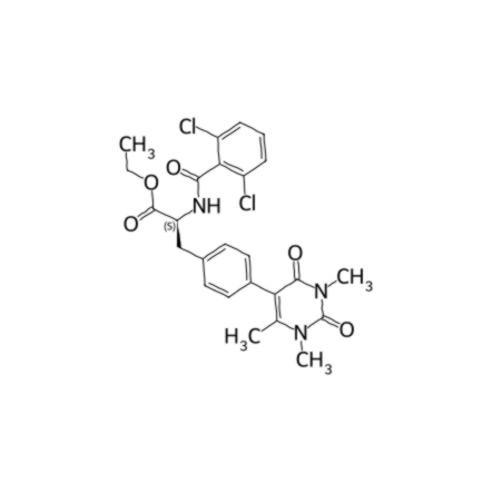 CCOC(=O)[C@H](Cc1ccc(-c2c(C)n(C)c(=O)n(C)c2=O)cc1)NC(=O)c1c(Cl)cccc1Cl